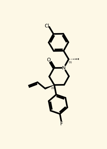 C=CC[C@]1(c2ccc(F)cc2)CCN([C@@H](C)c2ccc(Cl)cc2)C(=O)C1